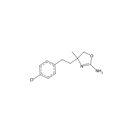 CC1(CCc2ccc(Cl)cc2)COC(N)=N1